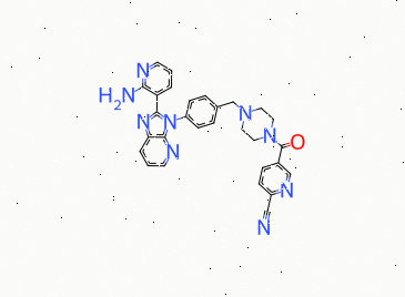 N#Cc1ccc(C(=O)N2CCN(Cc3ccc(-n4c(-c5cccnc5N)nc5cccnc54)cc3)CC2)cn1